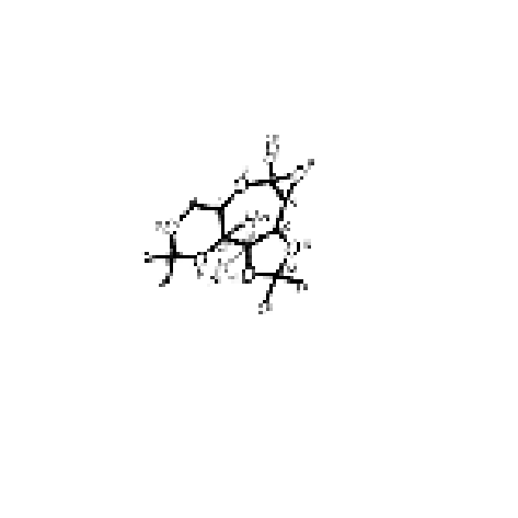 CC1(C)OCC2O[C@@H]3OC3C3OC(C)(C)O[C@H]3[C@@H]2O1